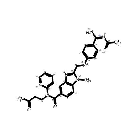 CC(=O)CCN(C(=O)c1ccc2c(c1)nc(CNc1ccc(/C(N)=N\C(C)=O)cc1)n2C)c1ccccn1